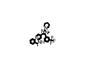 C[C@H](Nc1cc(-c2nc(N3CCCCC3)n(C)c2-c2cccc(C(F)(F)F)c2)ccn1)c1ccccc1